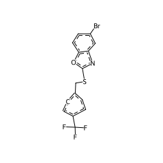 FC(F)(F)c1ccc(CSc2nc3cc(Br)ccc3o2)cc1